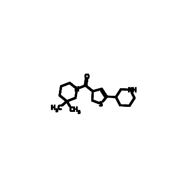 CC1(C)CCCN(C(=O)C2C=C(C3CCCNC3)SC2)C1